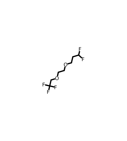 FC(F)CCOCCOCC(F)(F)F